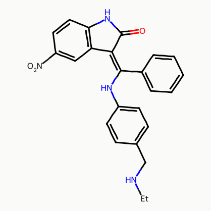 CCNCc1ccc(NC(=C2C(=O)Nc3ccc([N+](=O)[O-])cc32)c2ccccc2)cc1